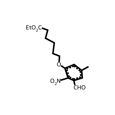 CCOC(=O)CCCCCOc1cc(C)cc(C=O)c1[N+](=O)[O-]